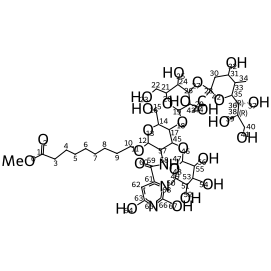 COC(=O)CCCCCCCCOC1OC(CO)C(OC2OC(CO)C(O)C(OC3(C(=O)O)CC(O)C(C)C([C@H](O)[C@H](O)CO)O3)C2O)C(OC2OC(C)C(O)C(O)C2O)C1NC(=O)c1cc(O)nc(O)n1